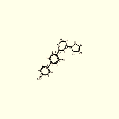 Cc1cc(-c2ccc(Cl)cc2)ccc1C1CN(C2CCCC2)CCO1